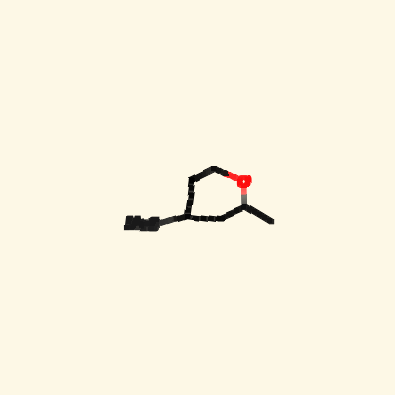 CSC1CCOC(C)C1